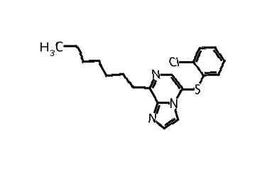 CCCCCCCc1ncc(Sc2ccccc2Cl)n2ccnc12